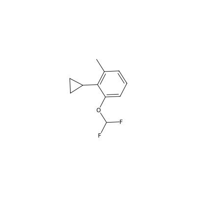 Cc1cccc(OC(F)F)c1C1CC1